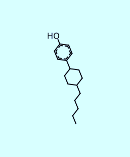 CCCCCC1CCC(c2ccc(O)cc2)CC1